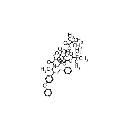 CC(C(CCc1ccccc1)c1ccc(Oc2ccccc2)cc1)N(CC(=O)OCOC(=O)C(C)(C)C)C(=O)C1COC(C(=O)O)(C(=O)OCOC(=O)C(C)(C)C)O1